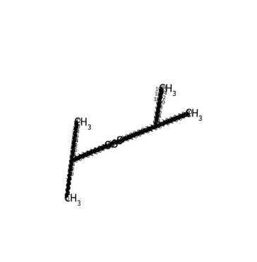 CCCCCCCCCCCCCCCCC(CCCCCCCCCCCCCCCC)CCCCCCCCCCCCCCCCCOCCOCCOCCCCCCCCCCCCCCCCCC(CCCCCCCCCCCCCCCC)CCCCCCCCCCCCCCCC